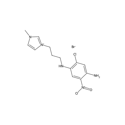 Cn1cc[n+](CCCNc2cc([N+](=O)[O-])c(N)cc2Cl)c1.[Br-]